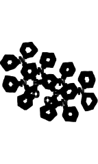 c1ccc(N2c3cc4c(cc3B3c5oc6ccccc6c5N(c5ccccc5)c5cc(N(c6ccccc6)C6CCCCC6)cc2c53)B2c3oc5ccccc5c3N(c3ccccc3)c3cc(N(c5ccccc5)C5CCCCC5)cc(c32)N4c2ccccc2)cc1